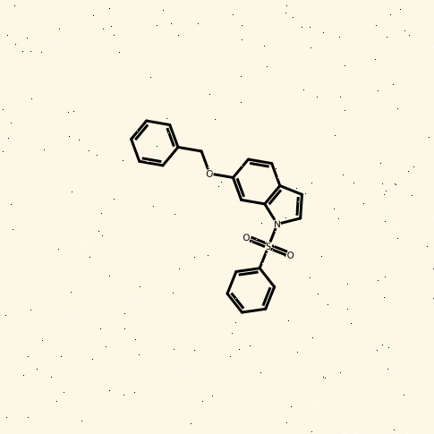 O=S(=O)(c1ccccc1)n1ccc2ccc(OCc3ccccc3)cc21